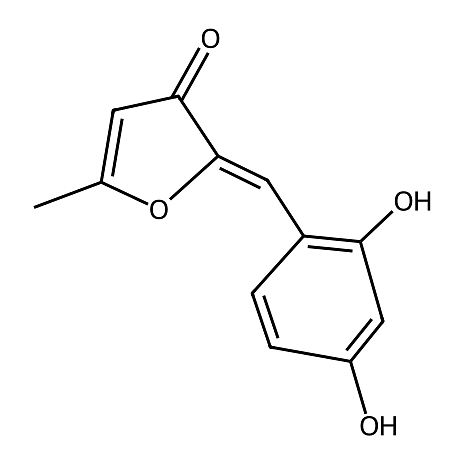 CC1=CC(=O)/C(=C/c2ccc(O)cc2O)O1